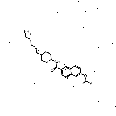 NCCCOCC1CCC(NC(=O)c2cnc3cc(OC(F)F)ccc3c2)CC1